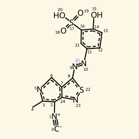 [C-]#[N+]c1c(C)ncc2c(/N=N/c3ccc(O)c(S(=O)(=O)O)c3)snc12